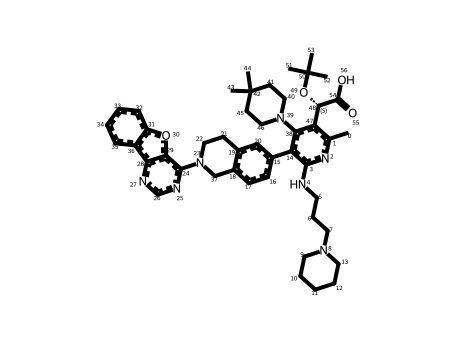 Cc1nc(NCCCN2CCCCC2)c(-c2ccc3c(c2)CCN(c2ncnc4c2oc2ccccc24)C3)c(N2CCC(C)(C)CC2)c1[C@H](OC(C)(C)C)C(=O)O